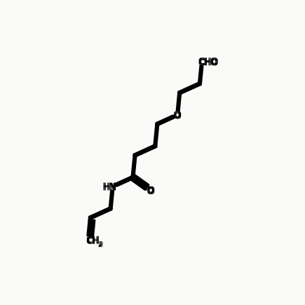 C=CCNC(=O)CCCOCCC=O